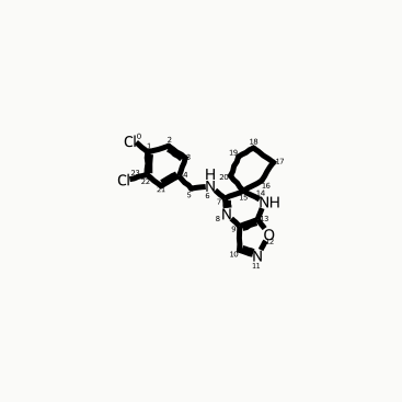 Clc1ccc(CNC2=Nc3cnoc3NC23CCCCC3)cc1Cl